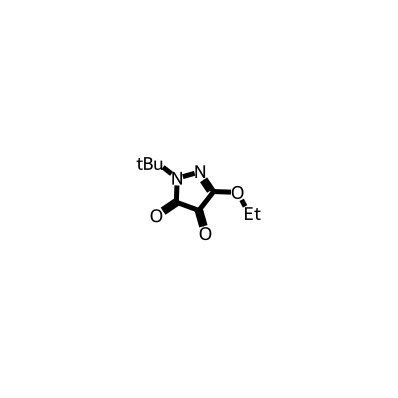 CCOC1=NN(C(C)(C)C)C(=O)C1=O